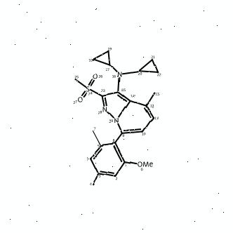 COc1cc(C)cc(C)c1-c1ccc(C)c2c(N(C3CC3)C3CC3)c(S(C)(=O)=O)nn12